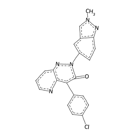 Cn1cc2cc(-n3nc4cccnc4c(-c4ccc(Cl)cc4)c3=O)ccc2n1